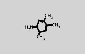 CC1=CC(C)C(N)C=C1C